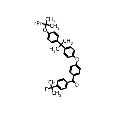 CCCC(C)(C)Oc1ccc(C(C)(C)c2ccc(Oc3ccc(C(=O)c4ccc(C(C)(C)F)cc4)cc3)cc2)cc1